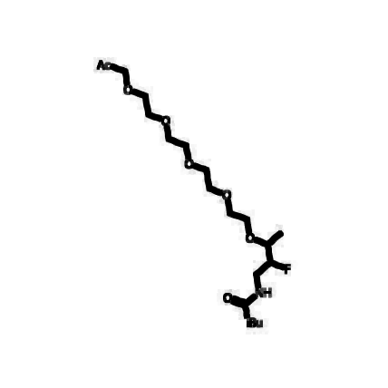 CCC(C)C(=O)NCC(F)C(C)OCCOCCOCCOCCOCC(C)=O